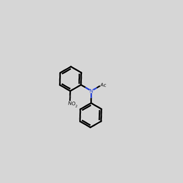 CC(=O)N(c1ccccc1)c1ccccc1[N+](=O)[O-]